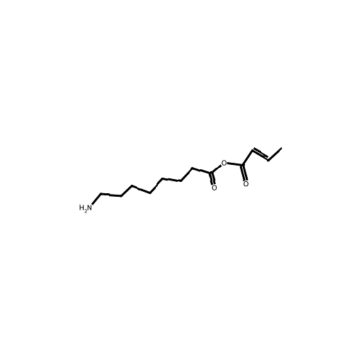 CC=CC(=O)OC(=O)CCCCCCCN